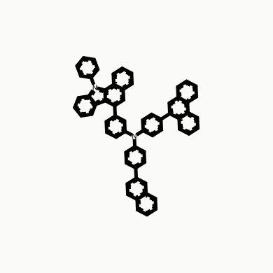 c1ccc(-n2c3ccccc3c3c(-c4cccc(N(c5ccc(-c6ccc7ccccc7c6)cc5)c5ccc(-c6cc7ccccc7c7ccccc67)cc5)c4)cc4ccccc4c32)cc1